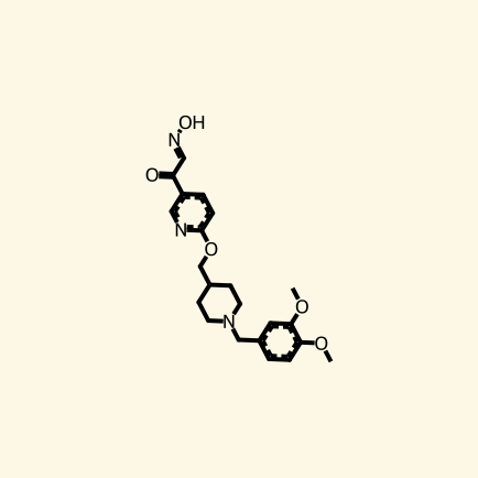 COc1ccc(CN2CCC(COc3ccc(C(=O)/C=N/O)cn3)CC2)cc1OC